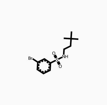 CC(C)(C)CCNS(=O)(=O)c1cccc(Br)c1